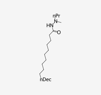 CCCCCCCCCCCCCCCCCCCC(=O)NN(C)CCC